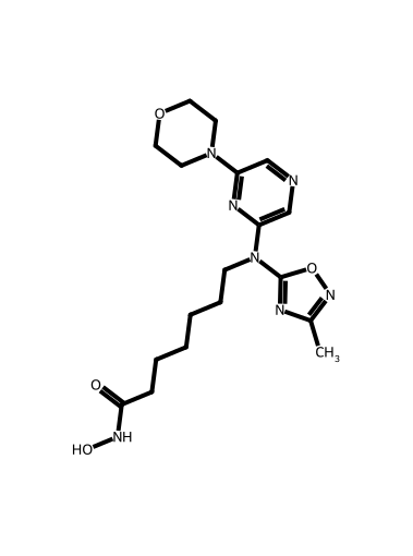 Cc1noc(N(CCCCCCC(=O)NO)c2cncc(N3CCOCC3)n2)n1